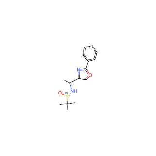 CC(N[S@+]([O-])C(C)(C)C)c1coc(-c2ccccc2)n1